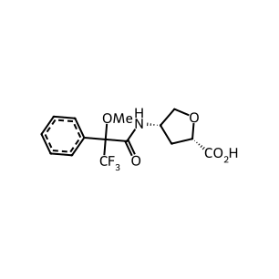 COC(C(=O)N[C@@H]1CO[C@H](C(=O)O)C1)(c1ccccc1)C(F)(F)F